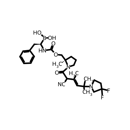 C/C(=C\C(C)(C)N1CCC(F)(F)C1)C(C#N)C(=O)N1CCC[C@]1(C)COC(=O)N[C@@H](Cc1ccccc1)B(O)O